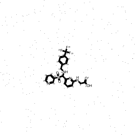 O=C(O)CNc1cccc(C(NCc2ccc(C(F)(F)F)cc2)S(=O)(=O)c2cccnc2)n1